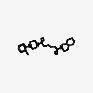 Cc1ccccc1N1CCN(C(=O)CCCCC(=O)N2CCC3CCCCC3C2)CC1